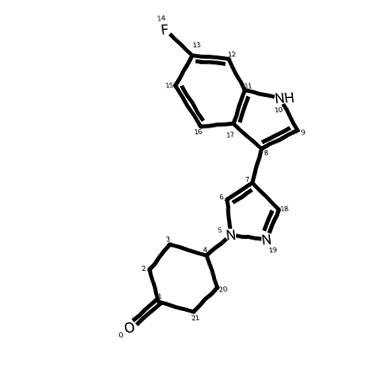 O=C1CCC(n2cc(-c3c[nH]c4cc(F)ccc34)cn2)CC1